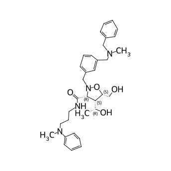 C[C@@H](O)[C@H]1[C@@H](CO)ON(Cc2cccc(CN(C)Cc3ccccc3)c2)[C@H]1C(=O)NCCCN(C)c1ccccc1